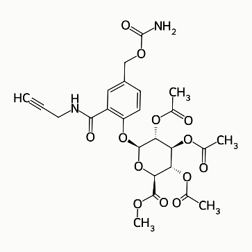 C#CCNC(=O)c1cc(COC(N)=O)ccc1O[C@@H]1O[C@H](C(=O)OC)[C@@H](OC(C)=O)[C@H](OC(C)=O)[C@H]1OC(C)=O